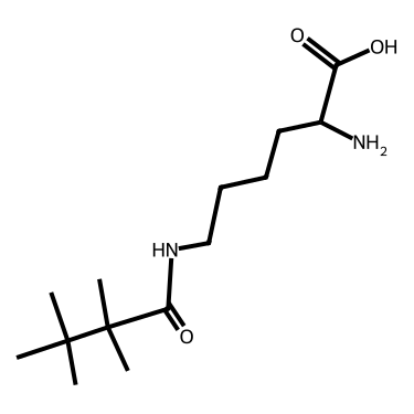 CC(C)(C)C(C)(C)C(=O)NCCCCC(N)C(=O)O